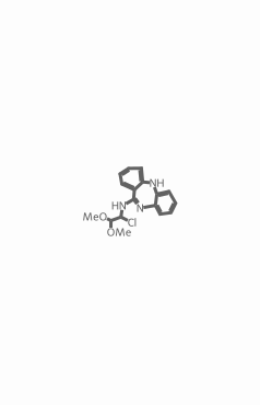 COC(OC)C(Cl)NC1=Nc2ccccc2Nc2ccccc21